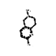 CN1CCc2nc(N)ccc2C1